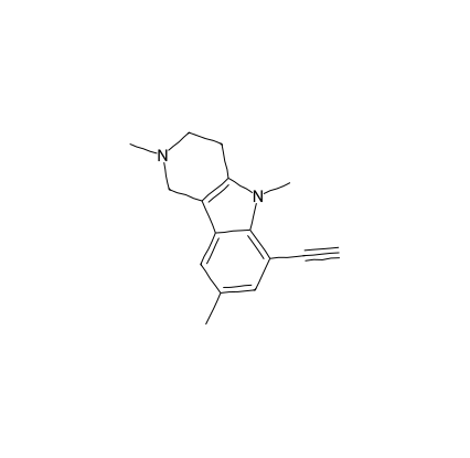 C#Cc1cc(C)cc2c3c(n(C)c12)CCN(C)C3